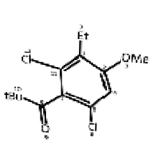 CCc1c(OC)cc(Cl)c(C(=O)C(C)(C)C)c1Cl